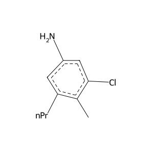 CCCc1cc(N)cc(Cl)c1C